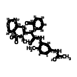 CC(=O)Nc1ccc(C)c(NC(=O)C(C2=Nc3ncncc3S(=O)(=O)N2C)n2ccccc2=O)c1